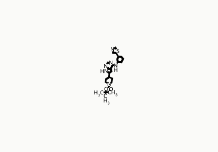 CC(C)(C)OC(=O)N1CC=C(c2cc3c(Nc4cccc(-c5cncs5)c4)ncnc3[nH]2)CC1